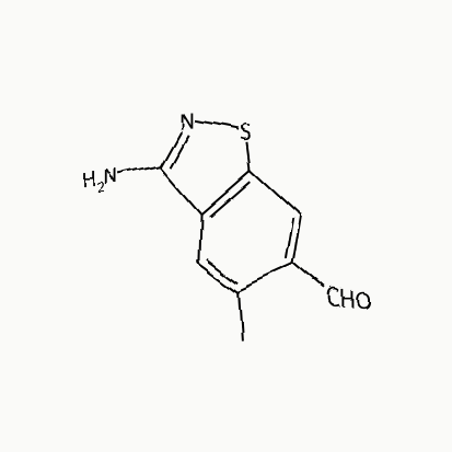 Cc1cc2c(N)nsc2cc1C=O